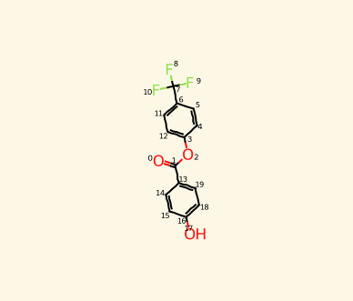 O=C(Oc1ccc(C(F)(F)F)cc1)c1ccc(O)cc1